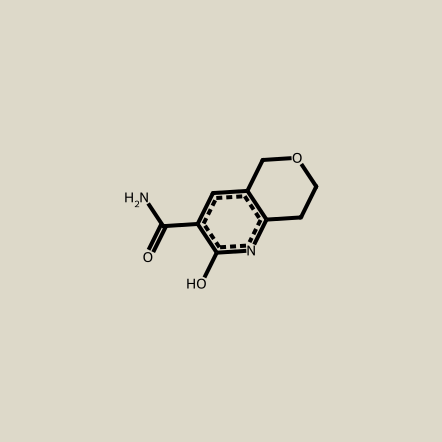 NC(=O)c1cc2c(nc1O)CCOC2